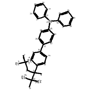 CCC(C)(CC)CC(C)(c1ccc(-c2ccc(N(c3ccccc3)c3ccccc3)cc2)cc1)C(C)(CC)CC